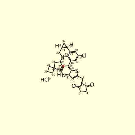 Cl.O=C1CCC(=O)N1Cc1cc2nccc(-c3cc(Cl)cc4c3N(C3CNC5(CCC5)C3)C[C@H]3C[C@@H]43)c2s1